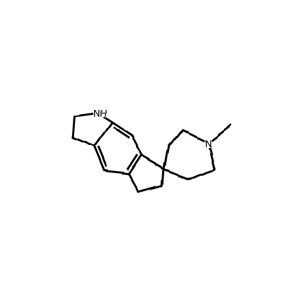 CN1CCC2(CCc3cc4c(cc32)NCC4)CC1